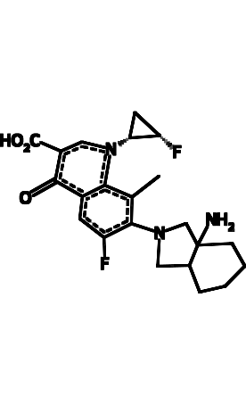 Cc1c(N2CC3CCCCC3(N)C2)c(F)cc2c(=O)c(C(=O)O)cn([C@@H]3C[C@@H]3F)c12